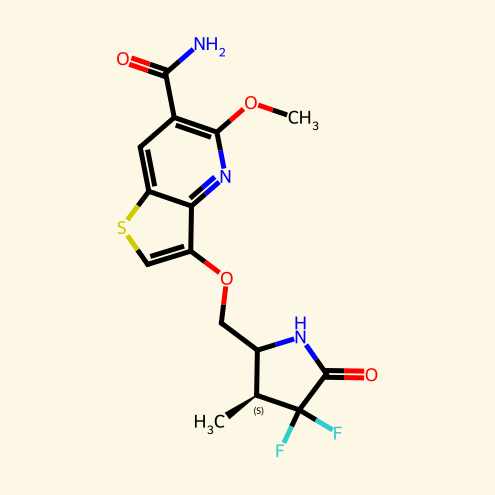 COc1nc2c(OCC3NC(=O)C(F)(F)[C@H]3C)csc2cc1C(N)=O